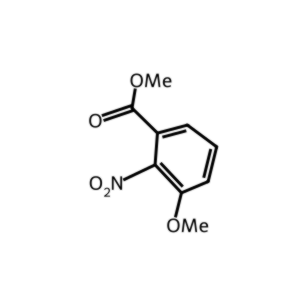 COC(=O)c1cccc(OC)c1[N+](=O)[O-]